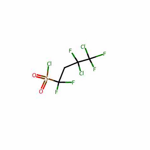 O=S(=O)(Cl)C(F)(F)CC(F)(Cl)C(F)(F)Cl